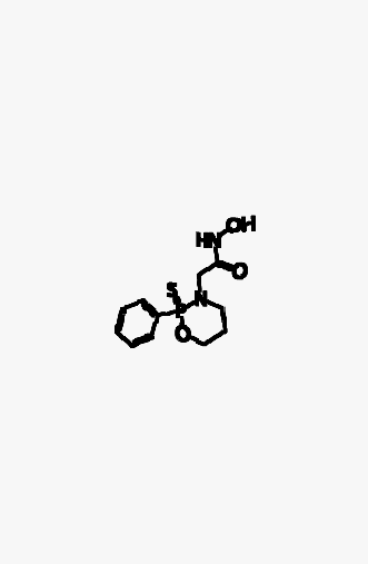 O=C(CN1CCCOP1(=S)c1ccccc1)NO